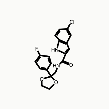 O=C(NCC1(c2ccc(F)cc2)OCCO1)c1cc2cc(Cl)ccc2[nH]1